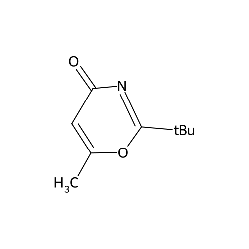 Cc1cc(=O)nc(C(C)(C)C)o1